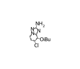 CC(C)COc1c(Cl)ccn2nc(N)nc12